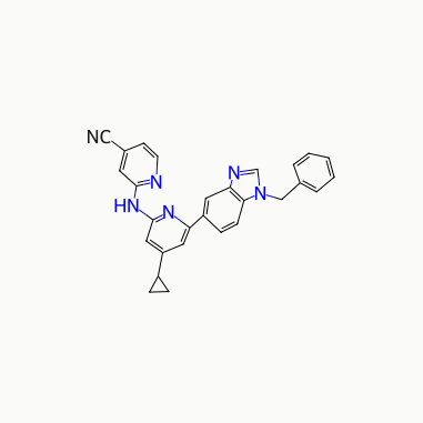 N#Cc1ccnc(Nc2cc(C3CC3)cc(-c3ccc4c(c3)ncn4Cc3ccccc3)n2)c1